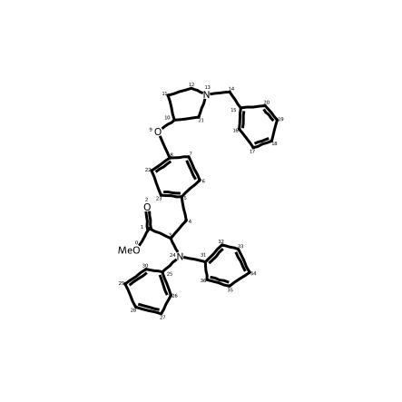 COC(=O)C(Cc1ccc(OC2CCN(Cc3ccccc3)C2)cc1)N(c1ccccc1)c1ccccc1